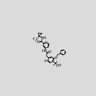 CC(C)(O)c1cc(F)c(CC(=O)Nc2ccnc(C(=O)NC3(C(F)(F)F)CC3)c2)cc1OCc1ccccc1